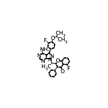 CC(C)Oc1ccc(-c2nn([C@@H](C)c3oc4cccc(F)c4c(=O)c3-c3ccccc3)c3ncnc(N)c23)cc1F